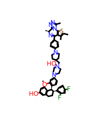 COc1cc(N2CCN(CC3(O)CCN(c4ccc(C5=N[C@@H](C)c6nnc(C)n6-c6sc(C)c(C)c65)cc4)CC3)CC2)ccc1[C@@H]1c2ccc(O)cc2CC[C@@H]1c1ccc(F)cc1F